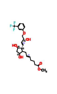 COC(=O)CCC/C=C/CC1[C@@H](/C=C/[C@@H](O)COc2cccc(C(F)(F)F)c2)[C@H](O)C[C@@H]1O